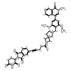 COc1cc(-c2cn(C)c(=O)c3cnccc23)cc(OC)c1CN1CCC2(C1)CN(C(=O)CCC#Cc1ccc3c(c1)C(=O)N(C1CCC(=O)NC1=O)C3=O)C2